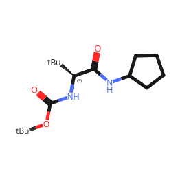 CC(C)(C)OC(=O)N[C@H](C(=O)NC1CCCC1)C(C)(C)C